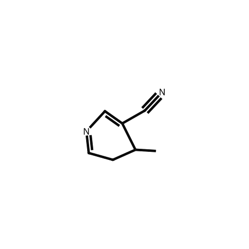 CC1CC=NC=C1C#N